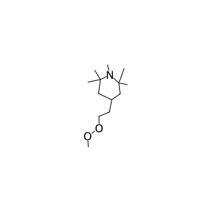 COOCCC1CC(C)(C)N(C)C(C)(C)C1